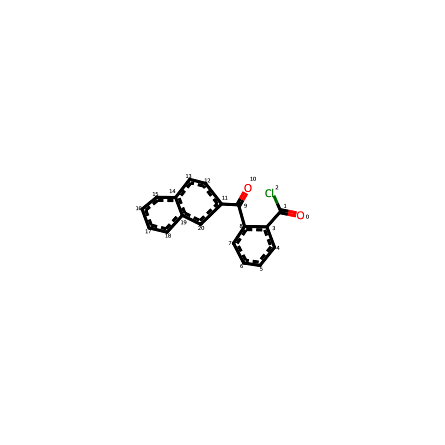 O=C(Cl)c1ccccc1C(=O)c1ccc2ccccc2c1